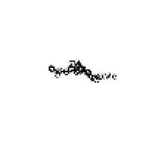 COC(=O)CC1c2ccc(NCc3cccc(-c4c(C)cc(OCCOC(=O)c5ccccc5)cc4C)c3C)cc2CC12CC2